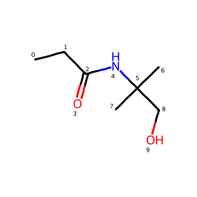 CCC(=O)NC(C)(C)CO